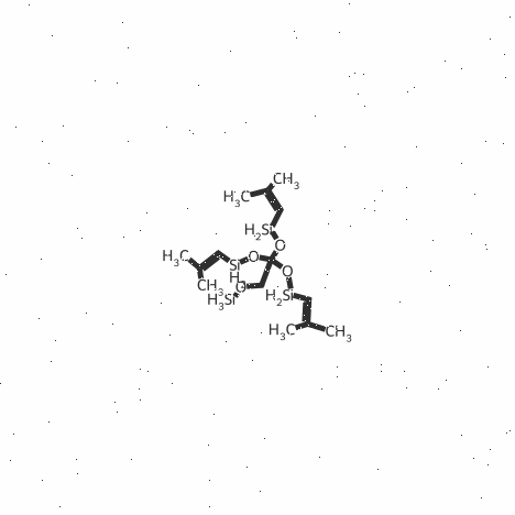 CC(C)=C[SiH2]OC(CO[SiH3])(O[SiH2]C=C(C)C)O[SiH2]C=C(C)C